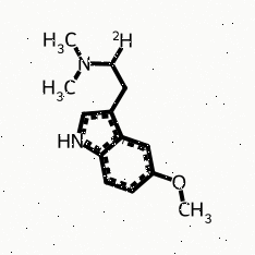 [2H]C(Cc1c[nH]c2ccc(OC)cc12)N(C)C